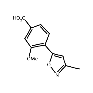 COc1cc(C(=O)O)ccc1-c1cc(C)no1